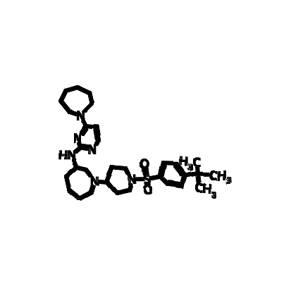 CC(C)(C)c1ccc(S(=O)(=O)N2CCC(N3CCCCC(Nc4nccc(N5CCCCCC5)n4)C3)CC2)cc1